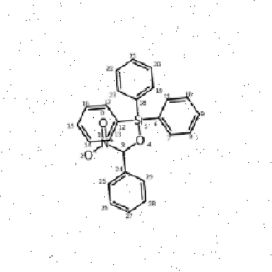 O=[N+]([O-])C(O[Si](c1ccccc1)(c1ccccc1)c1ccccc1)c1ccccc1